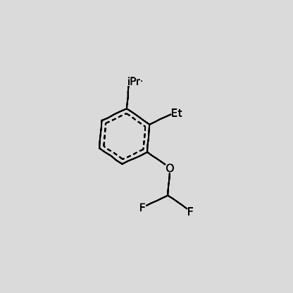 CCc1c(OC(F)F)cccc1[C](C)C